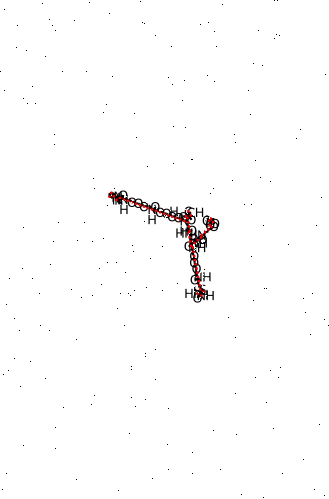 CC1(C)CC(=O)C(=C(CCCCC(=O)NCCCC[C@H](NC(=O)CCC(=O)NCCCCCC(=O)ON2C(=O)CCC2=O)C(=O)NCCCOCCOCCOCCCNC(=O)CCCC[C@@H]2SC[C@@H]3NC(=O)N[C@@H]32)NCCOCCOCCOCCOCCC(=O)NCCCOCCOCCOCCCNC(=O)c2nnn(-c3ccccc3)n2)C(=O)C1